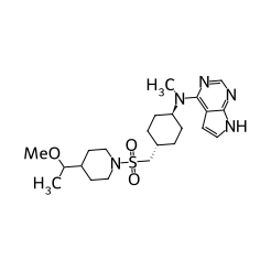 COC(C)C1CCN(S(=O)(=O)C[C@H]2CC[C@H](N(C)c3ncnc4[nH]ccc34)CC2)CC1